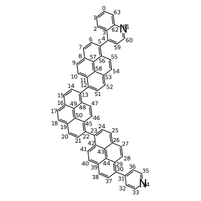 c1ccc2c(-c3ccc4ccc5c(-c6ccc7ccc8ccc(-c9ccc%10ccc%11c(-c%12ccncc%12)ccc%12ccc9c%10c%12%11)c9ccc6c7c89)ccc6ccc3c4c65)ccnc2c1